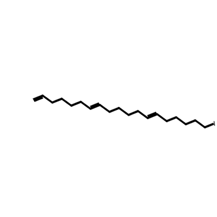 C=CCCCCC=CCCCCC=CCCCCCI